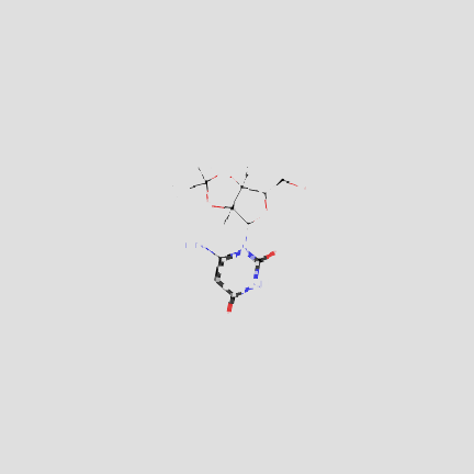 CC1(C)O[C@@H]2[C@H](O1)[C@@H](CO)O[C@H]2n1c(N)cc(=O)[nH]c1=O